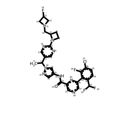 CC(c1cnc(N2CCC2CN2CC(F)C2)nc1)n1cc(NC(=O)c2cncc(-c3c(C(F)F)ccc(Cl)c3F)n2)cn1